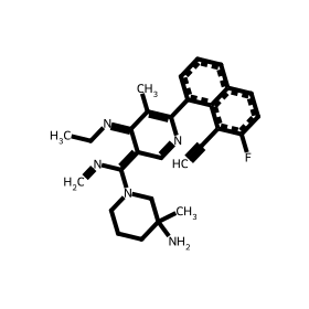 C#Cc1c(F)ccc2cccc(C3=C(C)C(=N/CC)/C(=C(\N=C)N4CCCC(C)(N)C4)C=N3)c12